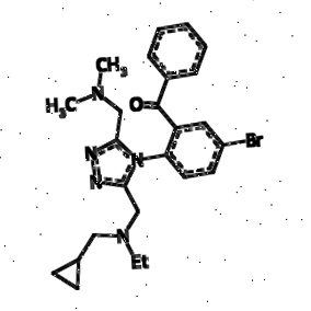 CCN(Cc1nnc(CN(C)C)n1-c1ccc(Br)cc1C(=O)c1ccccc1)CC1CC1